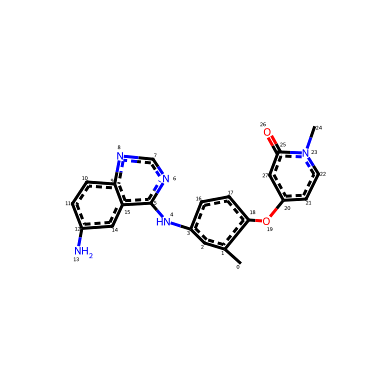 Cc1cc(Nc2ncnc3ccc(N)cc23)ccc1Oc1ccn(C)c(=O)c1